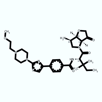 CCC(C)(C)[C@H](NC(=O)c1ccc(-c2csc(N3CCN(CCOC)CC3)n2)cc1)C(=O)N1C[C@@H](N)[C@H]2OCC(=O)[C@H]21